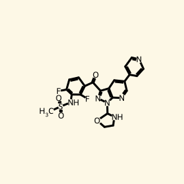 CS(=O)(=O)Nc1c(F)ccc(C(=O)c2nn(C3NCCO3)c3ncc(-c4ccncc4)cc23)c1F